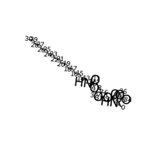 C=C(NC(=O)OCC(COC(=O)NCCCCCCCCCCCCCCCCCC)OC)C(=O)OC